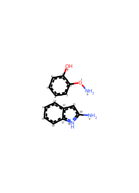 NOc1ccccc1O.Nc1cc2ccccc2[nH]1